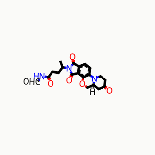 CC(CCC(=O)NC=O)N1C(=O)c2ccc3c(c2C1=O)OC[C@@H]1CC(=O)CCN31